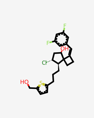 OCc1ccc(CCC[C@H]2[C@H](Cl)C[C@@H](O)C23CC/C3=C/c2cc(F)cc(F)c2)s1